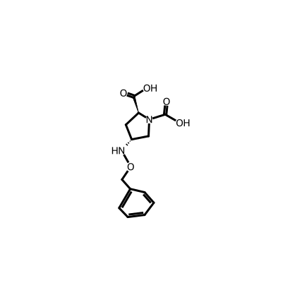 O=C(O)[C@@H]1C[C@@H](NOCc2ccccc2)CN1C(=O)O